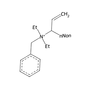 C=CC(CCCCCCCCC)[N+](CC)(CC)Cc1ccccc1